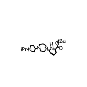 CC(C)N1CCC(N2CCCN(C3C=CC=C(C(=O)OC(C)(C)C)N3)CC2)CC1